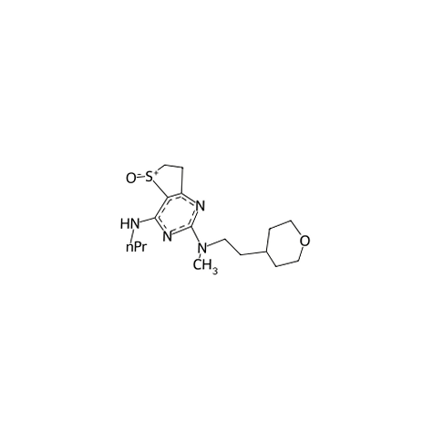 CCCNc1nc(N(C)CCC2CCOCC2)nc2c1[S+]([O-])CC2